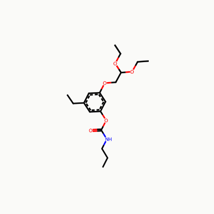 CCCNC(=O)Oc1cc(CC)cc(OCC(OCC)OCC)c1